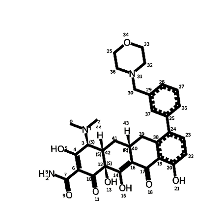 CN(C)[C@@H]1C(O)=C(C(N)=O)C(=O)[C@@]2(O)C(O)=C3C(=O)c4c(O)ccc(-c5cccc(CN6CCOCC6)c5)c4C[C@H]3C[C@@H]12